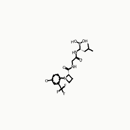 CC(C)C[C@H](NC(=O)CNC(=O)[C@@H]1CCN1c1ccc(Cl)cc1C(F)(F)F)B(O)O